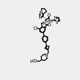 O=C(Nc1nccs1)[C@@H](c1ncn2c1CCC2)N1Cc2c(Cl)cc(-c3ccc(C45CC(CN6CCC(CO)CC6)(C4)C5)cc3)cc2C1=O